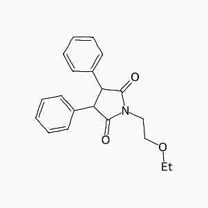 CCOCCN1C(=O)C(c2ccccc2)C(c2ccccc2)C1=O